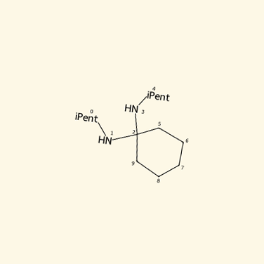 CCCC(C)NC1(NC(C)CCC)CCCCC1